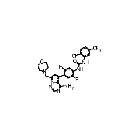 Nc1ncnn2c(CN3CCOCC3)cc(-c3cc(F)c(NC(=O)Nc4cc(C(F)(F)F)ccc4Cl)cc3F)c12